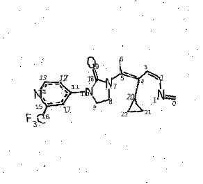 C=N/C=C\C(=C(/C)N1CCN(c2ccnc(C(F)(F)F)c2)C1=O)C1CC1